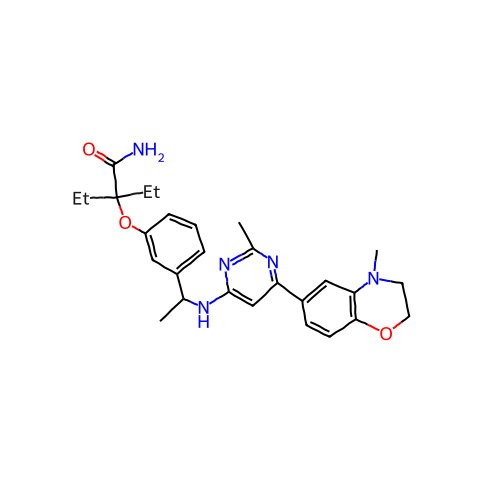 CCC(CC)(Oc1cccc(C(C)Nc2cc(-c3ccc4c(c3)N(C)CCO4)nc(C)n2)c1)C(N)=O